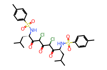 Cc1ccc(S(=O)(=O)N[C@@H](CC(C)C)C(=O)C(Cl)C(=O)C(Cl)C(=O)[C@H](CC(C)C)NS(=O)(=O)c2ccc(C)cc2)cc1